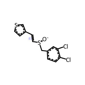 [O-][S+](/C=C/c1ccsc1)Cc1ccc(Cl)c(Cl)c1